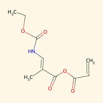 C=CC(=O)OC(=O)C(C)=CNC(=O)OCC